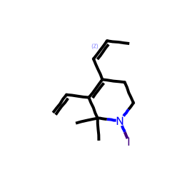 C=CC1=C(/C=C\C)CCN(I)C1(C)C